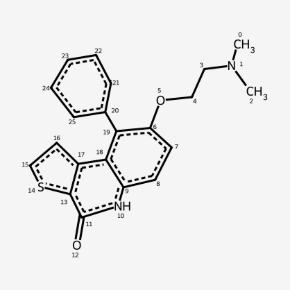 CN(C)CCOc1ccc2[nH]c(=O)c3sccc3c2c1-c1[c]cccc1